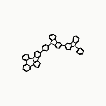 c1ccc(-n2c3ccccc3c3cc(-c4ccc5c(c4)c4ccccc4n5-c4ccc(-c5ccc6c(c5)c5cccc7c5n6-c5ccccc5-c5ccccc5-7)cc4)ccc32)cc1